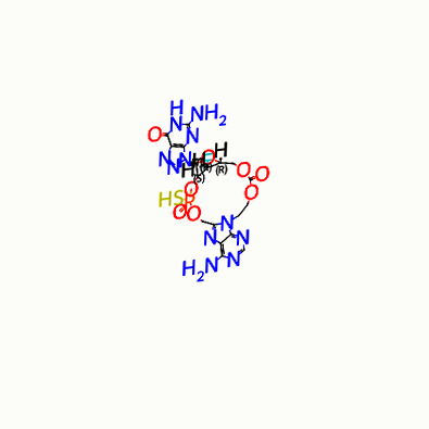 Nc1nc2c(nnn2[C@@H]2O[C@@H]3COC(=O)OCCn4c(nc5c(N)ncnc54)COP(=O)(S)O[C@@H]2[C@@H]3F)c(=O)[nH]1